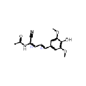 COc1cc(/C=C/C=C(\C#N)NC(C)=O)cc(OC)c1O